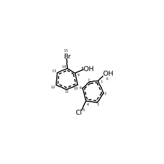 Oc1ccc(Cl)cc1.Oc1ccccc1Br